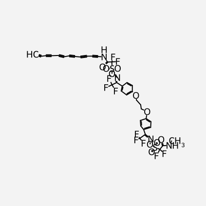 C#CC#CC#CC#CC#CC#CNC(=O)C(F)(F)S(=O)(=O)O/N=C(/c1ccc(OCCCOc2ccc(/C(=N/OS(=O)(=O)C(F)(F)C(=O)NC)C(F)(F)F)cc2)cc1)C(F)(F)F